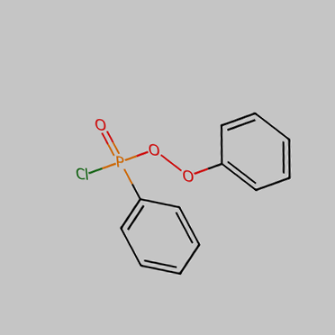 O=P(Cl)(OOc1ccccc1)c1ccccc1